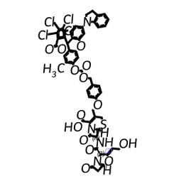 Cc1cc2c(cc1OC(=O)OCc1ccc(OCC3=C(C(=O)O)N4C(=O)[C@@H](NC(=O)[C@H]5/C(=C/CO)O[C@@H]6CC(=O)N65)[C@H]4SC3)cc1)Oc1cc(N3CCc4ccccc43)ccc1C21OC(=O)c2c(Cl)c(Cl)c(Cl)c(Cl)c21